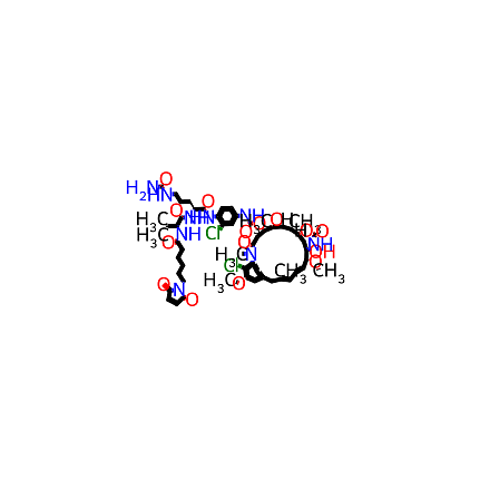 COc1cc2cc(c1Cl)N(C)C(=O)C[C@H](OC(=O)Nc1ccc(NC(=O)[C@H](CCCNC(N)=O)NC(=O)[C@@H](NC(=O)CCCCCN3C(=O)C=CC3=O)C(C)C)c(Cl)c1)[C@]1(C)O[C@H]1[C@H](C)[C@@H]1C[C@@](O)(NC(=O)O1)[C@H](OC)/C=C/C=C(\C)C2